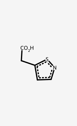 O=C(O)Cc1ccns1